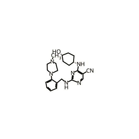 CN1CCN(c2ccccc2CNc2ncc(C#N)c(N[C@H]3CC[C@@H](O)CC3)n2)CC1